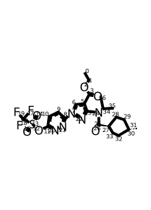 CCOC(=O)c1cn(-c2ccc(OS(=O)(=O)C(F)(F)F)nn2)nc1N(C(=O)[C@H]1CC[C@H](C)CC1)C(C)C